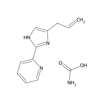 C=CCc1c[nH]c(-c2ccccn2)n1.NC(=O)O